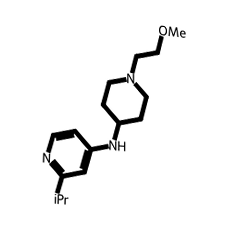 COCCN1CCC(Nc2ccnc(C(C)C)c2)CC1